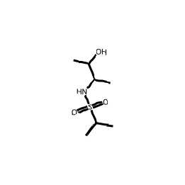 CC(O)C(C)NS(=O)(=O)C(C)C